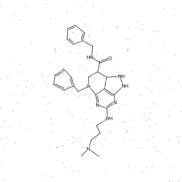 CN(C)CCCNc1nc2c3c(n1)N(Cc1ccccc1)CC(C(=O)NCc1ccccc1)C3NN2